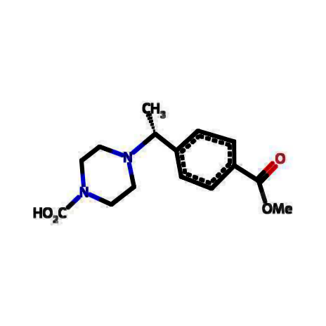 COC(=O)c1ccc([C@@H](C)N2CCN(C(=O)O)CC2)cc1